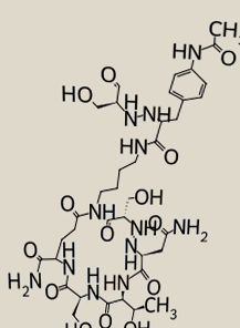 CC(=O)Nc1ccc(CC(NN[C@H](C=O)CO)C(=O)NCCCCNC(=O)CCC(NC(=O)[C@H](CO)NC(=O)[C@@H](NC(=O)[C@H](CC(N)=O)NN[C@H](C=O)CO)[C@@H](C)O)C(N)=O)cc1